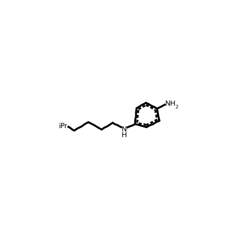 CC(C)CCCCNc1ccc(N)cc1